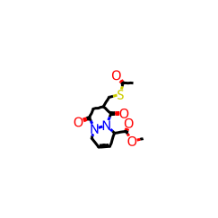 COC(=O)C1C=CCN2C(=O)CC(CSC(C)=O)C(=O)N12